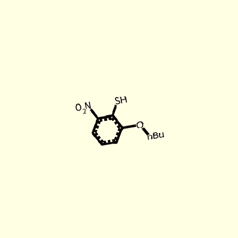 CCCCOc1cccc([N+](=O)[O-])c1S